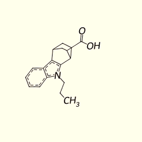 CCCn1c2c(c3ccccc31)C1CCC2C(C(=O)O)C1